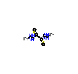 CC(C)c1ccc2c(Nc3cc(C#Cc4ccc(Sc5ccccc5)c(Nc5ccnc6nc(C(C)C)ccc56)c4)ccc3Sc3ccccc3)ccnc2n1